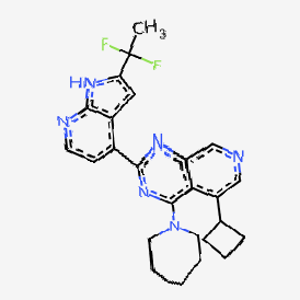 CC(F)(F)c1cc2c(-c3nc(N4CCCCC4)c4c(C5CCC5)cncc4n3)ccnc2[nH]1